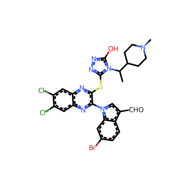 CC(C1CCN(C)CC1)n1c(O)nnc1Sc1nc2cc(Cl)c(Cl)cc2nc1-n1cc(C=O)c2ccc(Br)cc21